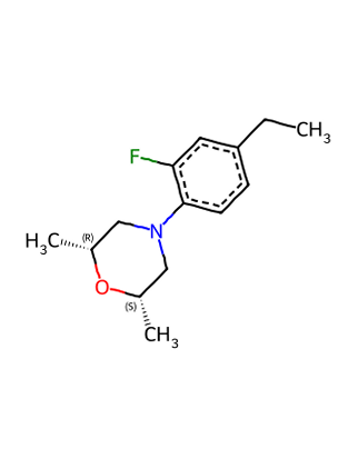 CCc1ccc(N2C[C@@H](C)O[C@@H](C)C2)c(F)c1